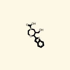 O=C(O)N1CCOC(c2cc3ccccc3s2)C(CO)C1